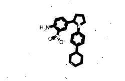 Nc1ccc(C2CCCN2c2ccc(C3CCCCC3)cc2)cc1[N+](=O)[O-]